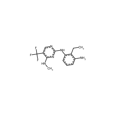 CCc1c(N)cccc1Nc1ncc(C(F)(F)F)c(NC)n1